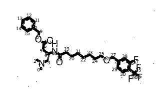 CN(C)C[C@@H](CC(=O)OCc1ccccc1)NC(=O)CCCCCCCOCc1ccc(C(F)(F)F)c(F)c1